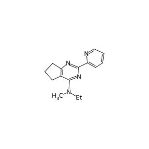 CCN(C)c1nc(-c2ccccn2)nc2c1CCC2